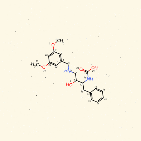 COc1cc(CNCC(O)C(Cc2ccccc2)NC(=O)O)cc(OC)c1